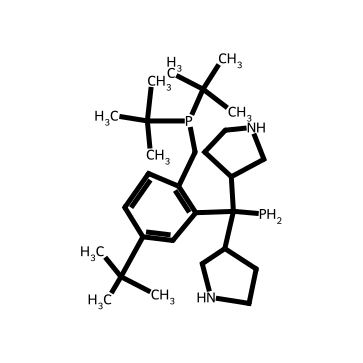 CC(C)(C)c1ccc(CP(C(C)(C)C)C(C)(C)C)c(C(P)(C2CCNC2)C2CCNC2)c1